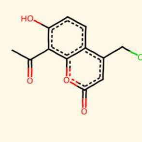 CC(=O)c1c(O)ccc2c(CCl)cc(=O)oc12